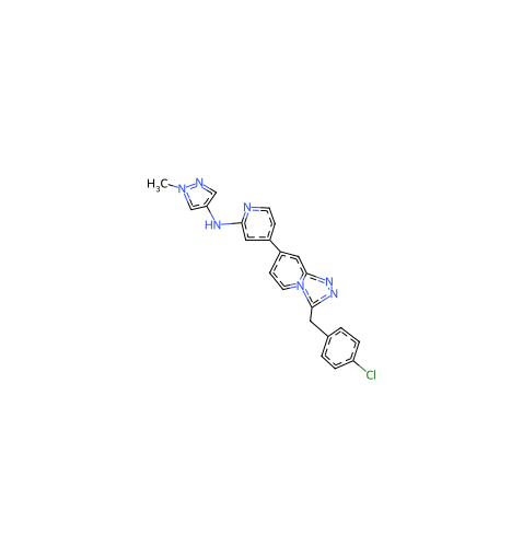 Cn1cc(Nc2cc(-c3ccn4c(Cc5ccc(Cl)cc5)nnc4c3)ccn2)cn1